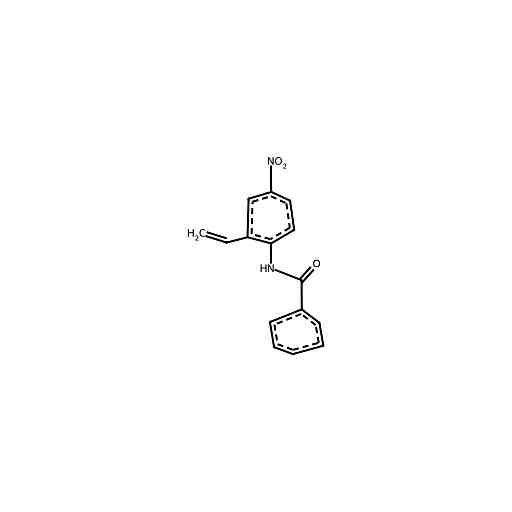 C=Cc1cc([N+](=O)[O-])ccc1NC(=O)c1ccccc1